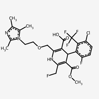 COC(=O)C1=C(CF)NC(COCCn2c(C)nc(C)c2C)=C(C(=O)O)C1c1c(F)ccc(Cl)c1C(F)(F)F